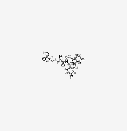 COC(=O)C(C)(C)CCCNC(=O)N1CCc2c(n(Cc3cccc(F)c3)c3ncccc23)C1